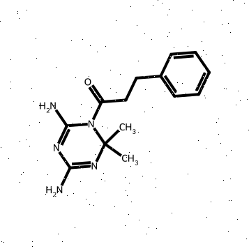 CC1(C)N=C(N)N=C(N)N1C(=O)CCc1ccccc1